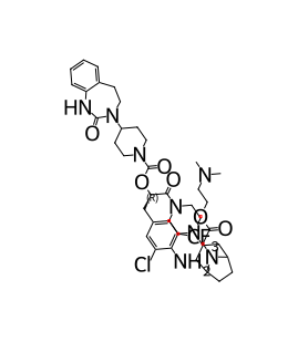 CN(C)CCOC(=O)CN1C2CCC1CC(N1CCN(C(=O)[C@@H](Cc3cc(Cl)c(N)c(C(F)(F)F)c3)OC(=O)N3CCC(N4CCc5ccccc5NC4=O)CC3)CC1)C2